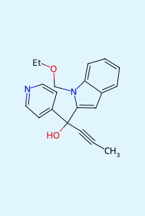 CC#CC(O)(c1ccncc1)c1cc2ccccc2n1COCC